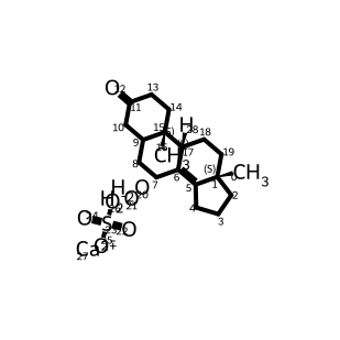 C[C@@]12CCCC1=C1CCC3CC(=O)CC[C@]3(C)[C@@H]1CC2.O.O.O=S(=O)([O-])[O-].[Ca+2]